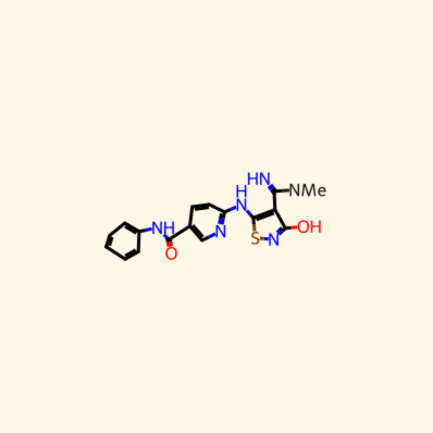 CNC(=N)c1c(O)nsc1Nc1ccc(C(=O)Nc2ccccc2)cn1